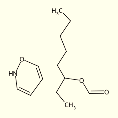 C1=CNOC=C1.CCCCCC(CC)OC=O